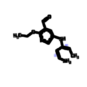 C/C=C(\C=C/N)Nc1cnc(OCC)c(C=O)c1